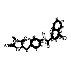 CN1C(=O)SC(Cc2ccc(NC(=O)c3cc(=O)c4ccccc4o3)cc2)C1=O